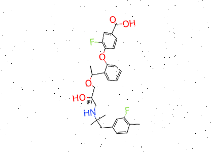 Cc1ccc(CC(C)(C)NC[C@@H](O)COC(C)c2ccccc2Oc2ccc(C(=O)O)cc2F)cc1F